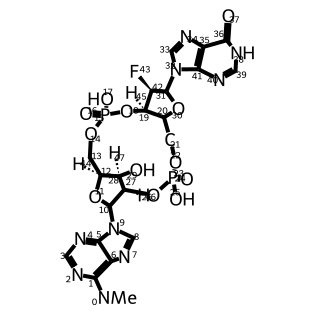 CNc1ncnc2c1ncn2C1O[C@H]2COP(=O)(O)O[C@@H]3C(COP(=O)(O)O[C@@H]1[C@@H]2O)OC(n1cnc2c(=O)[nH]cnc21)[C@@H]3F